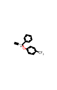 [C]#C[C@@H](Oc1ccc(C(F)(F)F)cc1)c1ccccc1